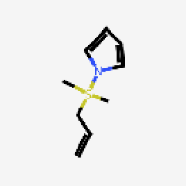 C=CCS(C)(C)n1cccc1